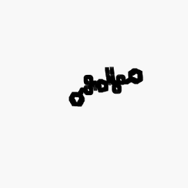 O=C(N[C@@H]1CCN(C(=O)OCc2ccccc2)C1)OCc1ccccc1